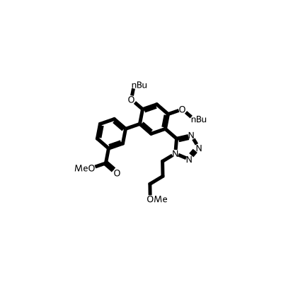 CCCCOc1cc(OCCCC)c(-c2nnnn2CCCOC)cc1-c1cccc(C(=O)OC)c1